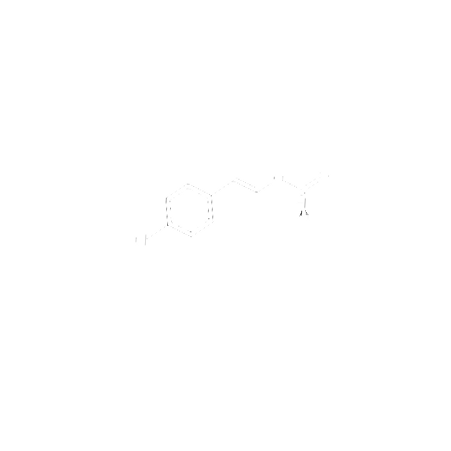 O=[SH](=O)OC=Cc1ccc(Cl)cc1